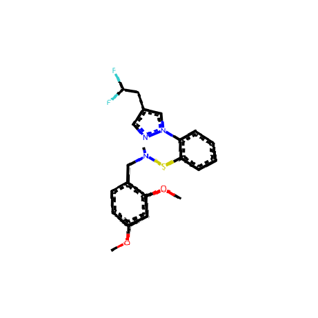 COc1ccc(CN(C)Sc2ccccc2-n2cc(CC(F)F)cn2)c(OC)c1